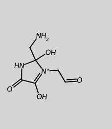 NCC1(O)NC(=O)C(O)=[N+]1CC=O